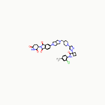 O=C1CCC(N2C(=O)c3ccc(N4CC5CN(CC6CCN(c7cnn(C8(C(=O)Nc9ccc(C(F)(F)F)cc9Cl)CCC8)c7)CC6)CC5C4)cc3C2=O)C(=O)N1